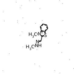 CNN=Cc1sc2ccccc2[n+]1C